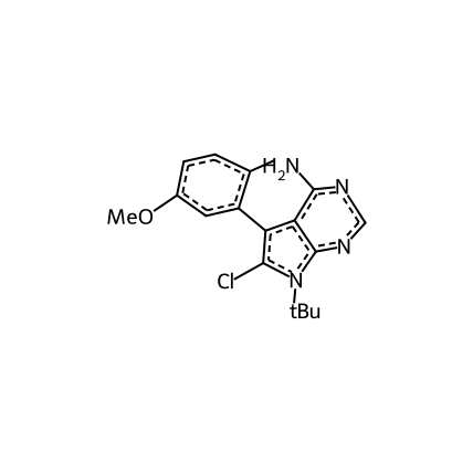 COc1ccc(C)c(-c2c(Cl)n(C(C)(C)C)c3ncnc(N)c23)c1